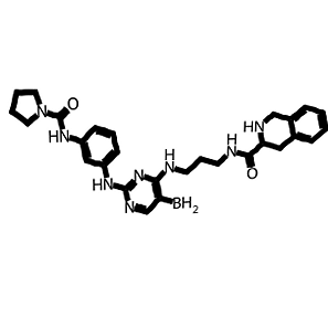 Bc1cnc(Nc2cccc(NC(=O)N3CCCC3)c2)nc1NCCCNC(=O)C1Cc2ccccc2CN1